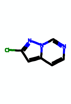 Clc1cc2ccncn2n1